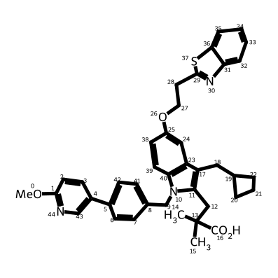 COc1ccc(-c2ccc(Cn3c(CC(C)(C)C(=O)O)c(CC4CCC4)c4cc(OCCc5nc6ccccc6s5)ccc43)cc2)cn1